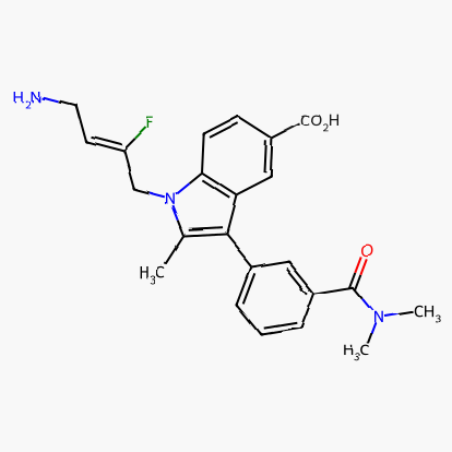 Cc1c(-c2cccc(C(=O)N(C)C)c2)c2cc(C(=O)O)ccc2n1CC(F)=CCN